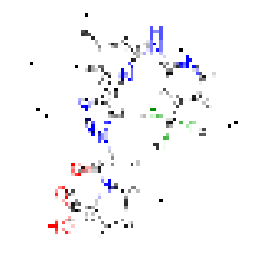 Cc1cc(Nc2cc(C(F)(F)F)ccn2)nc(-c2cn([C@H](C)C(=O)N3CCC[C@H]3C(=O)O)nn2)c1